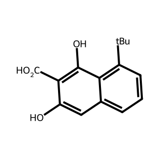 CC(C)(C)c1cccc2cc(O)c(C(=O)O)c(O)c12